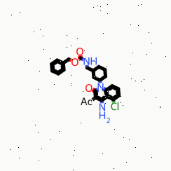 CC(=O)c1c(N)c2c(Cl)cccc2n(C2CCCC(CNC(=O)OCc3ccccc3)C2)c1=O